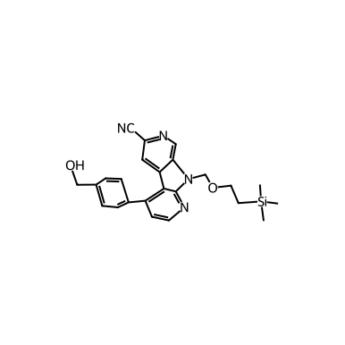 C[Si](C)(C)CCOCn1c2cnc(C#N)cc2c2c(-c3ccc(CO)cc3)ccnc21